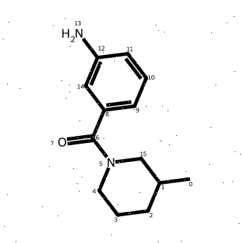 CC1CCCN(C(=O)c2cccc(N)c2)C1